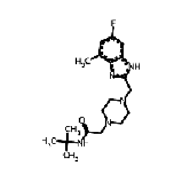 Cc1cc(F)cc2[nH]c(CN3CCN(CC(=O)NC(C)(C)C)CC3)nc12